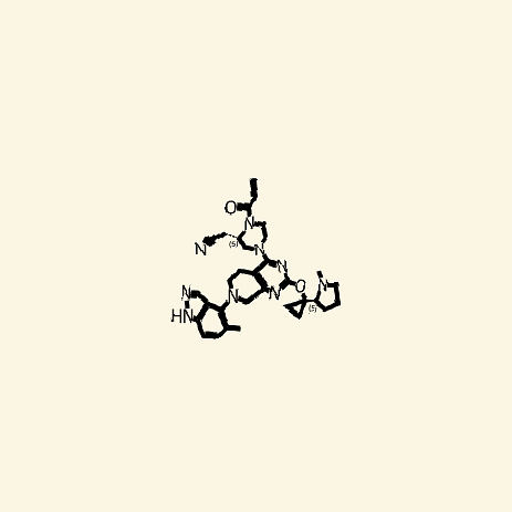 C=CC(=O)N1CCN(c2nc(OC3([C@@H]4CCCN4C)CC3)nc3c2CCN(c2c(C)ccc4[nH]ncc24)C3)C[C@@H]1CC#N